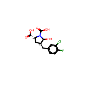 O=C(O)[C@H]1C[C@H](Cc2ccc(F)c(Cl)c2)C(O)N1C(=O)O